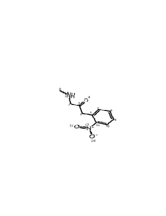 CNCC(=O)Cc1ccccc1[N+](=O)[O-]